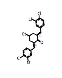 CCC1C/C(=C\c2ccc(Cl)c(Cl)c2)C(=O)/C(=C/c2ccc(Cl)c(Cl)c2)C1